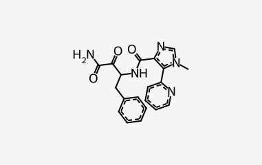 Cn1cnc(C(=O)NC(Cc2ccccc2)C(=O)C(N)=O)c1-c1ccccn1